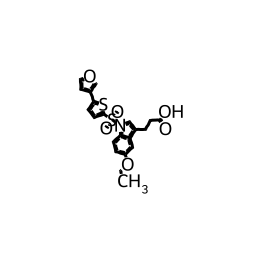 CCOc1ccc2c(c1)c(CCC(=O)O)cn2S(=O)(=O)c1ccc(-c2ccoc2)s1